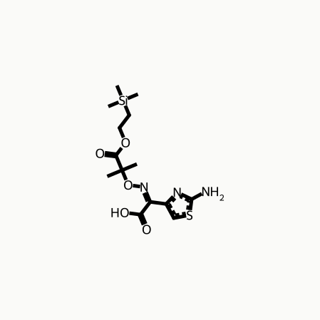 CC(C)(O/N=C(\C(=O)O)c1csc(N)n1)C(=O)OCC[Si](C)(C)C